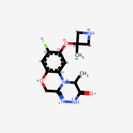 CC1C(=O)NN=C2COc3cc(F)c(OC4(C)CNC4)cc3N21